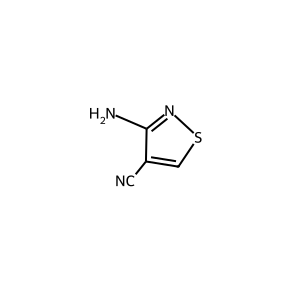 N#Cc1csnc1N